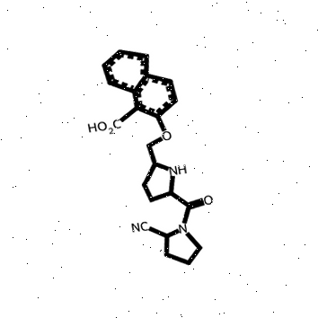 N#CC1CCCN1C(=O)C1CCC(COc2ccc3ccccc3c2C(=O)O)N1